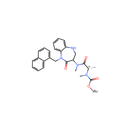 C[C@@H](C(=O)N(C)C1CNc2ccccc2N(Cc2cccc3ccccc23)C1=O)N(C)C(=O)OC(C)(C)C